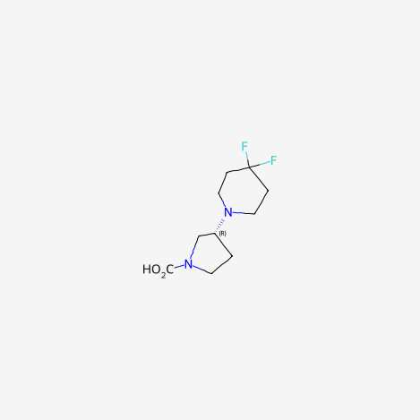 O=C(O)N1CC[C@@H](N2CCC(F)(F)CC2)C1